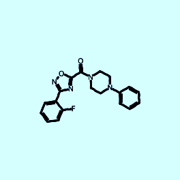 O=C(c1nc(-c2ccccc2F)no1)N1CCN(c2ccccc2)CC1